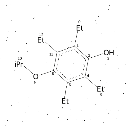 CCc1c(O)c(CC)c(CC)c(OC(C)C)c1CC